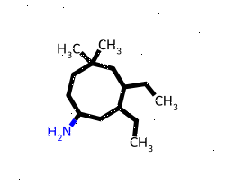 CCC1CC(N)CCC(C)(C)CC1CC